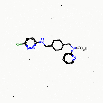 O=C(O)N(CC1CCC(CNc2ccc(Cl)nn2)CC1)c1ccccn1